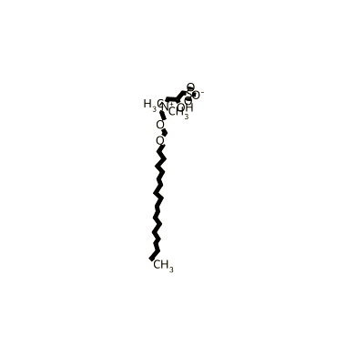 CCCCCCCCCCCCCCCCCCCOCOCC[N+](C)(C)CC(O)CS(=O)(=O)[O-]